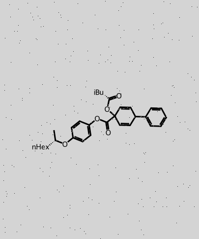 CCCCCC[C@H](C)Oc1ccc(OC(=O)C2(OC(=O)[C@@H](C)CC)C=CC(c3ccccc3)C=C2)cc1